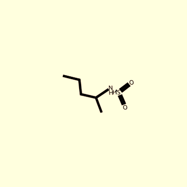 CCCC(C)N[SH](=O)=O